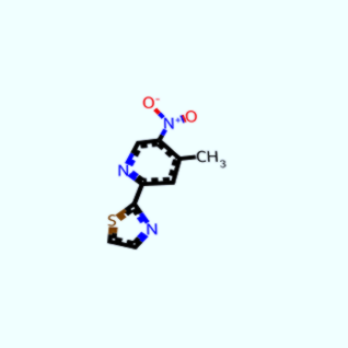 Cc1cc(-c2nccs2)ncc1[N+](=O)[O-]